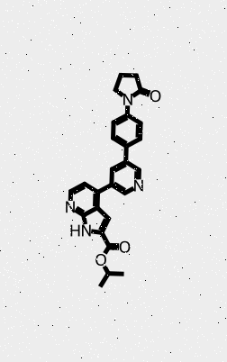 CC(C)OC(=O)c1cc2c(-c3cncc(-c4ccc(N5CCCC5=O)cc4)c3)ccnc2[nH]1